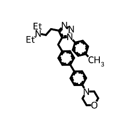 CCN(CC)CCc1nnn(-c2ccc(C)cc2)c1Cc1ccc(-c2ccc(N3CCOCC3)cc2)cc1